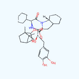 CC1(C)C2CCC1(C)C(OC(=O)[C@@H]1CC3CCCC[C@H]3N1C(=O)[C@@H](NC(=O)[C@H](O)Cc1ccc(O)c(O)c1)C1CCCCC1)C2